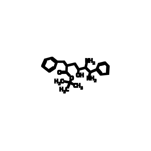 CC(C)(C)OC(=O)C(Cc1ccccc1)CC(O)C(N)C(N)c1ccccc1